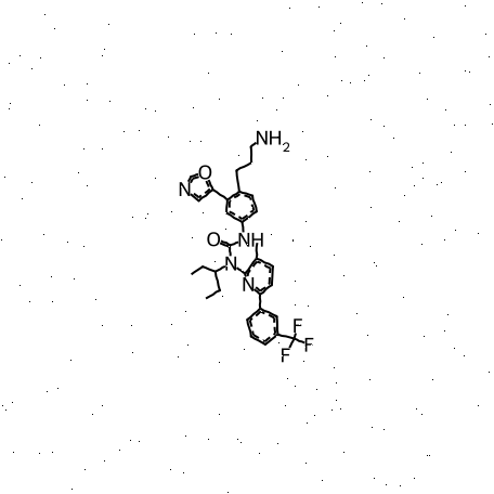 CCC(CC)N(C(=O)Nc1ccc(CCCN)c(-c2cnco2)c1)c1nc(-c2cccc(C(F)(F)F)c2)ccc1C